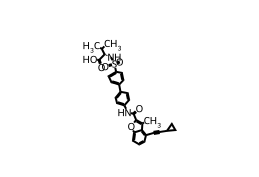 Cc1c(C(=O)Nc2ccc(-c3ccc(S(=O)(=O)N[C@H](C(=O)O)C(C)C)cc3)cc2)oc2cccc(C#CC3CC3)c12